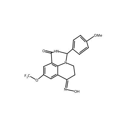 COc1ccc(C2NC(=O)c3cc(OC(F)(F)F)cc4c3N2CCC4=NO)cc1